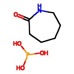 O=C1CCCCCN1.OP(O)O